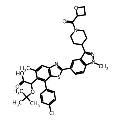 Cc1cc2nc(-c3ccc4c(c3)c(C3CCN(C(=O)C5CCO5)CC3)nn4C)sc2c(-c2ccc(Cl)cc2)c1C(OC(C)(C)C)C(=O)O